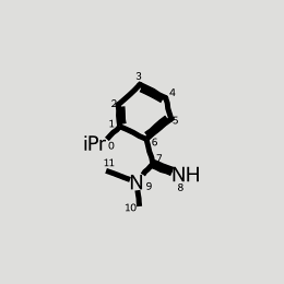 CC(C)c1ccccc1C(=N)N(C)C